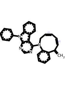 C=C1/C=C\C=C/CN(c2ncnc3c2c2ccccc2n3-c2ccccc2)c2ccccc21